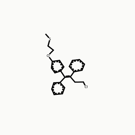 CSCCOc1ccc(C(=C(CCCl)c2ccccc2)c2ccccc2)cc1